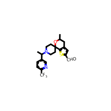 CC1Cc2cc(C=O)sc2C2(CCN(C(C)c3ccc(C(F)(F)F)nc3)CC2)O1